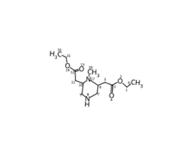 CCOC(=O)CC1CNCC(CC(=O)OCC)N1C